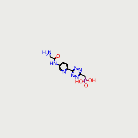 NCC(=O)Nc1ccc(-c2nnc(CP(=O)(O)O)nn2)nc1